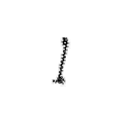 CC(C)(C)OC(=O)CCOCCOCCOCCOCCOCCCc1ccc(N)cc1